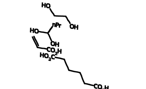 C=CC(=O)O.CCCC(O)O.O=C(O)CCCCC(=O)O.OCCO